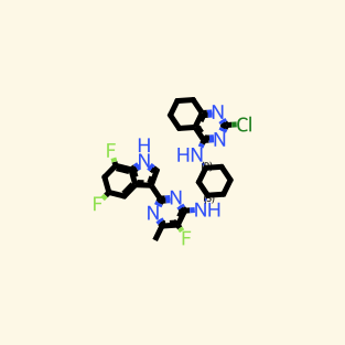 Cc1nc(-c2c[nH]c3c2=CC(F)CC=3F)nc(N[C@H]2CCC[C@@H](Nc3nc(Cl)nc4c3CCCC4)C2)c1F